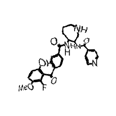 COc1ccc(O)c(C(=O)c2ccc(C(=O)NC3CCCNCC3NC(=O)c3ccncc3)cc2)c1F